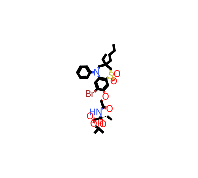 CCCCC1(CC)CN(c2ccccc2)c2cc(Br)c(OCC(=O)N[C@@](CC)(OC(C)(C)C)C(=O)O)cc2S(=O)(=O)C1